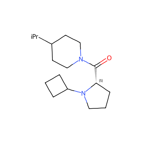 CC(C)C1CCN(C(=O)[C@@H]2CCCN2C2CCC2)CC1